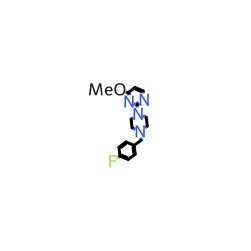 COc1ccnc(N2CCN(Cc3ccc(F)cc3)CC2)n1